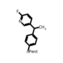 CCCCCc1ccc(C(C)c2ccc(F)nc2)cc1